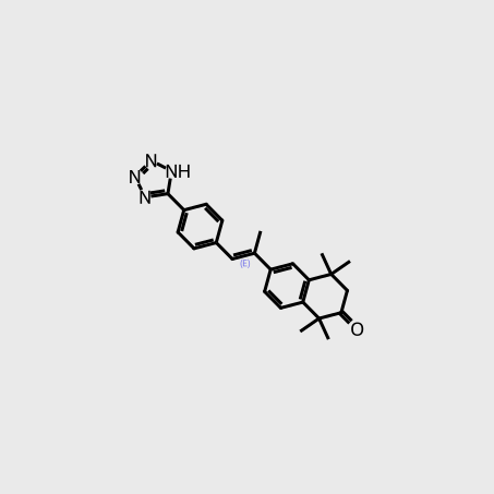 C/C(=C\c1ccc(-c2nnn[nH]2)cc1)c1ccc2c(c1)C(C)(C)CC(=O)C2(C)C